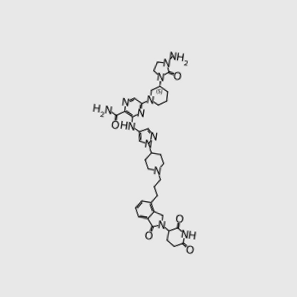 NC(=O)c1ncc(N2CCC[C@H](N3CCN(N)C3=O)C2)nc1Nc1cnn(C2CCN(CCCc3cccc4c3CN(C3CCC(=O)NC3=O)C4=O)CC2)c1